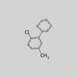 Cc1ccc(Cl)c(-c2cc[c]cc2)c1